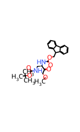 COCC(=O)[C@@H](CNC(=O)OC(C)(C)C)NC(=O)OCC1c2ccccc2-c2ccccc21